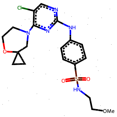 COCCNS(=O)(=O)c1ccc(Nc2ncc(Cl)c(N3CCOC4(CC4)C3)n2)cc1